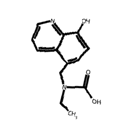 CCN(Cc1ccc(O)c2ncccc12)C(=O)O